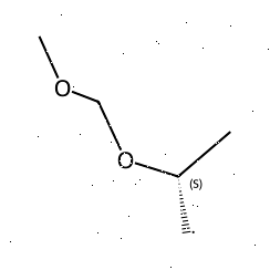 [CH2][C@@H](C)OCOC